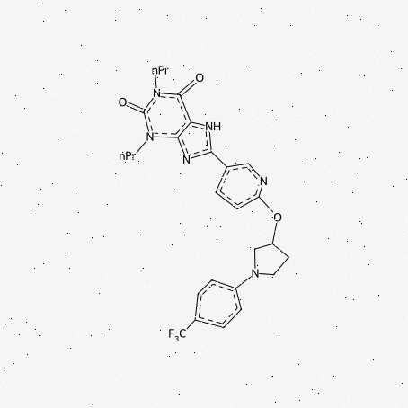 CCCn1c(=O)c2[nH]c(-c3ccc(OC4CCN(c5ccc(C(F)(F)F)cc5)C4)nc3)nc2n(CCC)c1=O